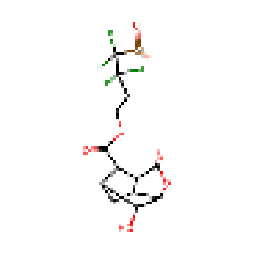 O=C(OCCC(F)(F)C(F)(F)[SH](=O)=O)C1C2CC3C(OC(=O)C31)C2O